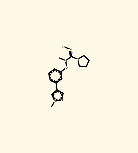 CC/N=C(/N1CCCC1)N(C)Oc1ccnc(-c2cnn(C)c2)c1